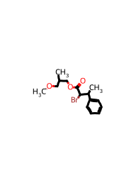 COCC(C)COC(=O)C(Br)C(C)c1ccccc1